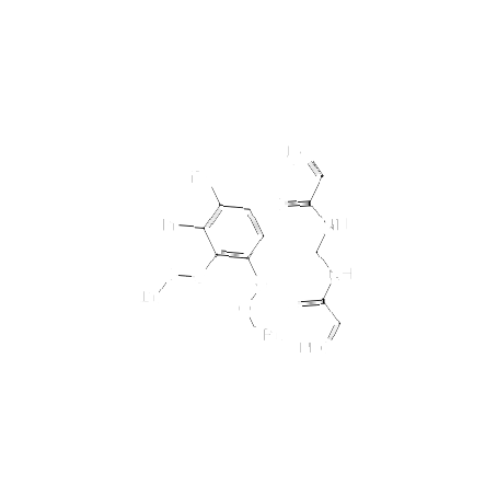 C=CC(=O)NCNC(=O)C=C.CC(C)c1ccc(OOC(C)(C)C)c(OOC(C)(C)C)c1C(C)C